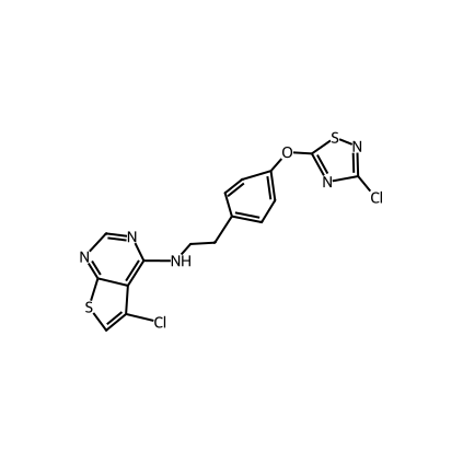 Clc1nsc(Oc2ccc(CCNc3ncnc4scc(Cl)c34)cc2)n1